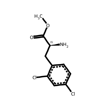 COC(=O)[C@@H](N)Cc1ccc(Cl)cc1Cl